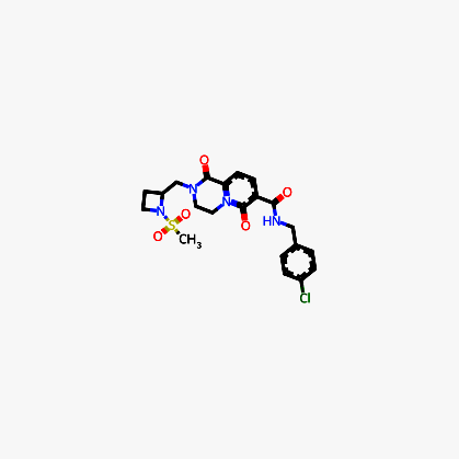 CS(=O)(=O)N1CCC1CN1CCn2c(ccc(C(=O)NCc3ccc(Cl)cc3)c2=O)C1=O